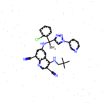 BC(Nc1cc(C#N)c2ncc(C#N)c(NCC(C)(C)C)c2c1)(c1cn(-c2cccnc2)nn1)c1ccccc1Cl